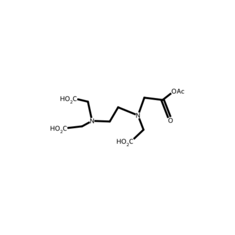 CC(=O)OC(=O)CN(CCN(CC(=O)O)CC(=O)O)CC(=O)O